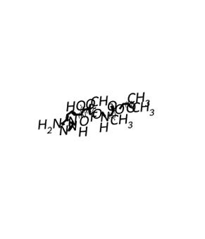 CO[C@@H](C)COC(=O)[C@H](C)NCOC[C@@](CF)(OC)[C@@H](O)[C@@H](O)c1ccc2c(N)ncnn12